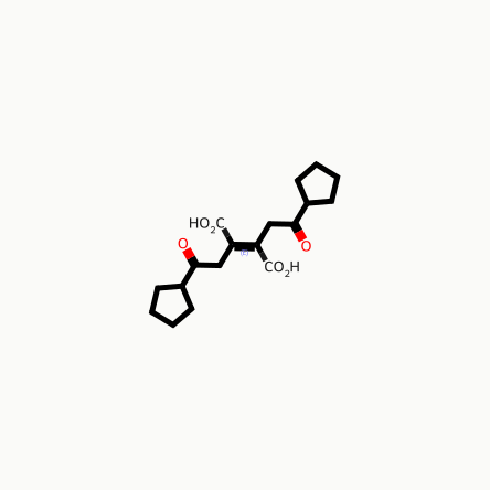 O=C(O)/C(CC(=O)C1CCCC1)=C(\CC(=O)C1CCCC1)C(=O)O